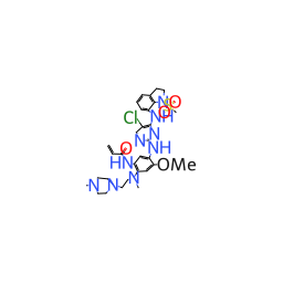 C=CC(=O)Nc1cc(Nc2ncc(Cl)c(Nc3cccc4c3N(S(C)(=O)=O)CC4)n2)c(OC)cc1N(C)CCN1CCN(C)CC1